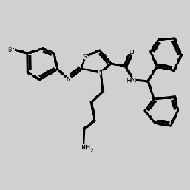 NCCCCn1c(C(=O)NC(c2ccccc2)c2ccccc2)csc1=Nc1ccc(Br)cc1